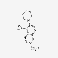 O=C(O)c1cnc2c(C3CC3)c(N3CCCCC3)ccc2c1